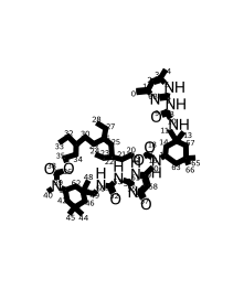 C=C1C=C(C)NC(NC(=O)NCC2(C)CC(NC(=O)OCCC(CC)CC(CC)CCC(CC)CCOC(=O)N(C)C3CC(C)(C)CC(C)(CNC(=O)Nc4nc(=O)cc(C)[nH]4)C3)CC(C)(C)C2)=N1